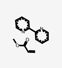 C=CC(=O)OC.c1ccc(-c2ccccn2)nc1